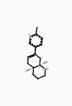 Cc1ccc(C2=CC[C@@H]3CCCN[C@@H]3C2)cn1